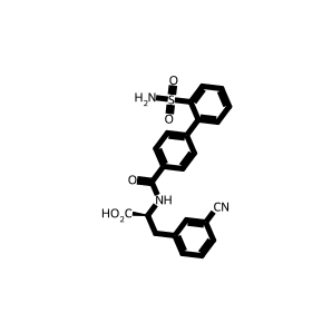 N#Cc1cccc(C[C@H](NC(=O)c2ccc(-c3ccccc3S(N)(=O)=O)cc2)C(=O)O)c1